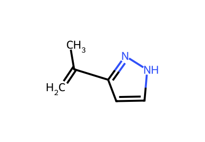 C=C(C)c1cc[nH]n1